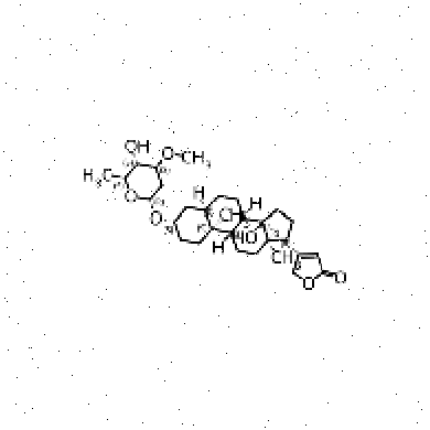 CO[C@H]1C[C@H](O[C@H]2CC[C@@]3(C)[C@H](CC[C@@H]4[C@@H]3CC[C@]3(C)[C@@H](C5=CC(=O)OC5)CC[C@]43O)C2)O[C@@H](C)[C@@H]1O